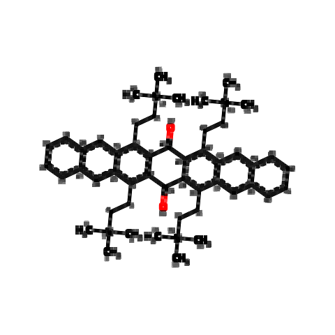 C[Si](C)(C)CCc1c2c(c(CC[Si](C)(C)C)c3cc4ccccc4cc13)C(=O)c1c(c(CC[Si](C)(C)C)c3cc4ccccc4cc3c1CC[Si](C)(C)C)C2=O